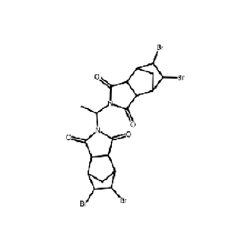 CC(N1C(=O)C2C3CC(C(Br)C3Br)C2C1=O)N1C(=O)C2C3CC(C(Br)C3Br)C2C1=O